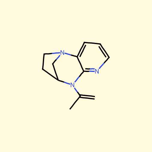 C=C(C)N1c2ncccc2N2CCC1C2